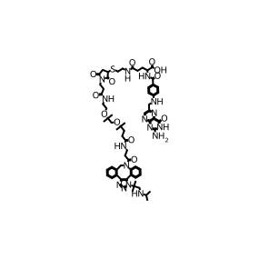 CC(C)NCC(C)(C)n1nnc2c1-c1ccccc1N(C(=O)CCNC(=O)CCC(C)(C)OCC(C)(C)OCCNC(=O)CCN1C(=O)CC(SCCNC(=O)CCC(NC(=O)c3ccc(NCc4cnc5nc(N)[nH]c(=O)c5n4)cc3)C(=O)O)C1=O)Cc1ccccc1-2